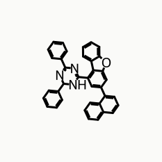 c1ccc(C2=NC(c3ccccc3)NC(c3cc(-c4cccc5ccccc45)cc4oc5ccccc5c34)=N2)cc1